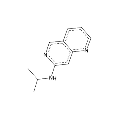 CC(C)Nc1cc2ncccc2cn1